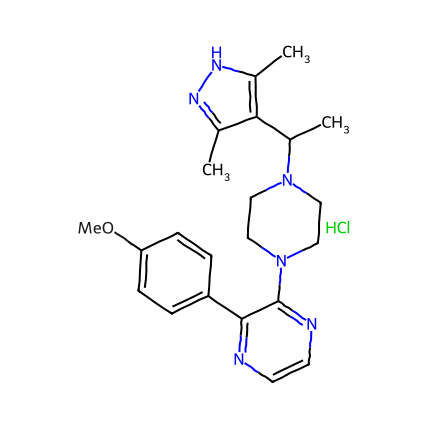 COc1ccc(-c2nccnc2N2CCN(C(C)c3c(C)n[nH]c3C)CC2)cc1.Cl